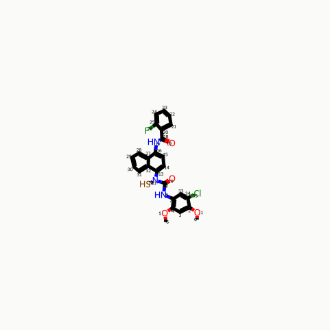 COc1cc(OC)c(NC(=O)N(S)c2ccc(NC(=O)c3ccccc3F)c3ccccc23)cc1Cl